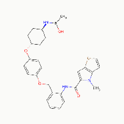 CB(O)N[C@H]1CC[C@H](Oc2ccc(OCc3ccccc3NC(=O)c3cc4sccc4n3C)cc2)CC1